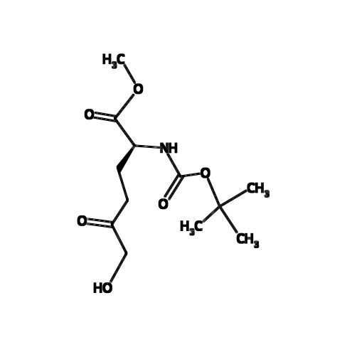 COC(=O)[C@H](CCC(=O)CO)NC(=O)OC(C)(C)C